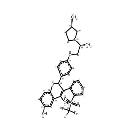 CC1=C(c2ccccc2S(=O)(=O)C(F)(F)F)C(c2ccc(OC[C@H](C)N3CC[C@@H](C)C3)cc2)Oc2ccc(O)cc21